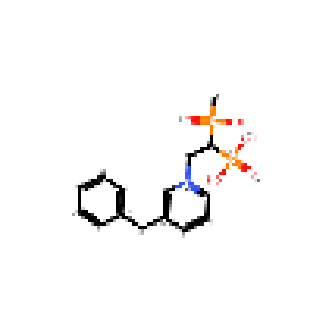 CP(=O)(O)C(C[n+]1cccc(Cc2ccccc2)c1)P(=O)(O)O